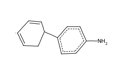 Nc1ccc(C2C=C[C]=CC2)cc1